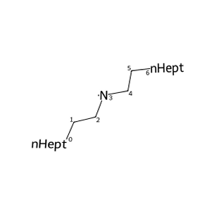 CCCCCCCCC[N]CCCCCCCCC